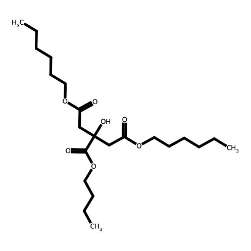 CCCCCCOC(=O)CC(O)(CC(=O)OCCCCCC)C(=O)OCCCC